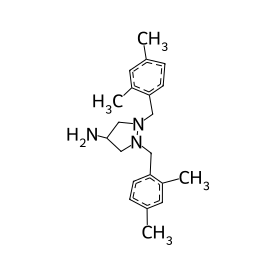 Cc1ccc(CN2CC(N)CN2Cc2ccc(C)cc2C)c(C)c1